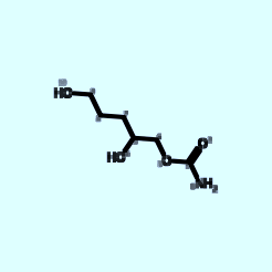 NC(=O)OCC(O)CCCO